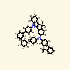 CC1(C)c2ccccc2-c2ccc(N(c3ccc(-c4ccccc4)cc3)c3ccc4c(c3)-c3c(c5ccccc5n3-c3ccc(-c5ccccc5)cc3)C4(C)C)cc21